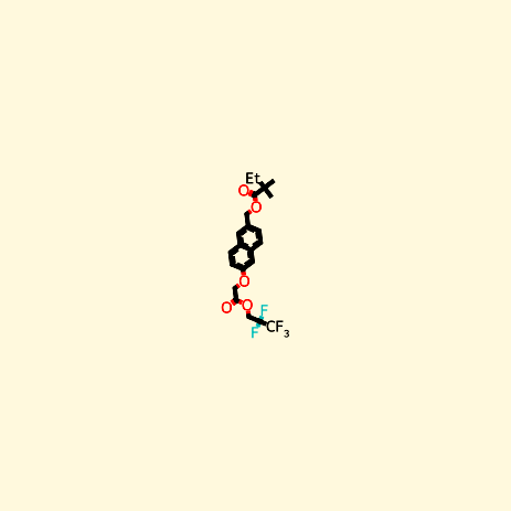 CCC(C)(C)C(=O)OCc1ccc2cc(OCC(=O)OCC(F)(F)C(F)(F)F)ccc2c1